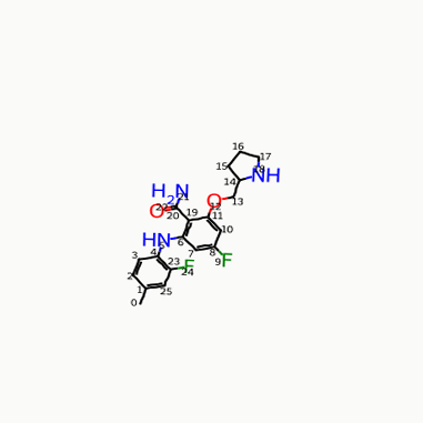 Cc1ccc(Nc2cc(F)cc(OCC3CCCN3)c2C(N)=O)c(F)c1